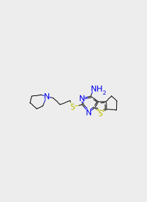 Nc1nc(SCCCN2CCCCC2)nc2sc3c(c12)CCC3